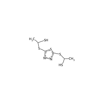 CC(S)Sc1nnc(SC(C)S)s1